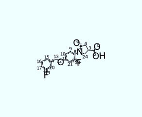 O=C(O)C1CC(=O)N(c2ccc(OCc3cccc(F)c3)cc2F)C1